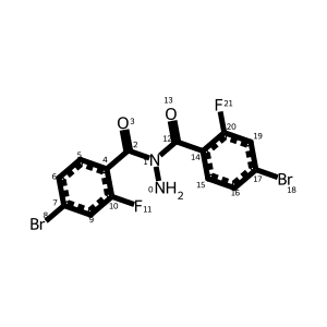 NN(C(=O)c1ccc(Br)cc1F)C(=O)c1ccc(Br)cc1F